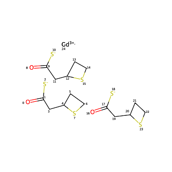 O=C([S-])CC1CCS1.O=C([S-])CC1CCS1.O=C([S-])CC1CCS1.[Gd+3]